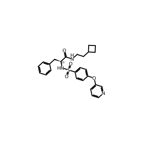 O=C(N[CH]CC1CCC1)[C@H](Cc1ccccc1)NS(=O)(=O)c1ccc(Oc2cccnc2)cc1